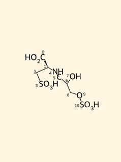 O=C(O)[C@H](CS(=O)(=O)O)NCC(O)COS(=O)(=O)O